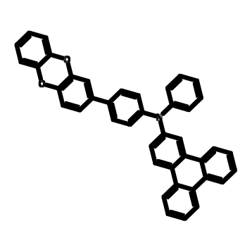 c1ccc(N(c2ccc(-c3ccc4c(c3)Oc3ccccc3O4)cc2)c2ccc3c4ccccc4c4ccccc4c3c2)cc1